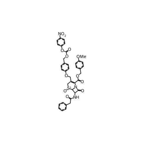 COc1ccc(COC(=O)C2=C(COc3ccc(COC(=O)Oc4ccc([N+](=O)[O-])cc4)cc3)C[S+]([O-])C3C(NC(=O)Cc4ccccc4)C(=O)N23)cc1